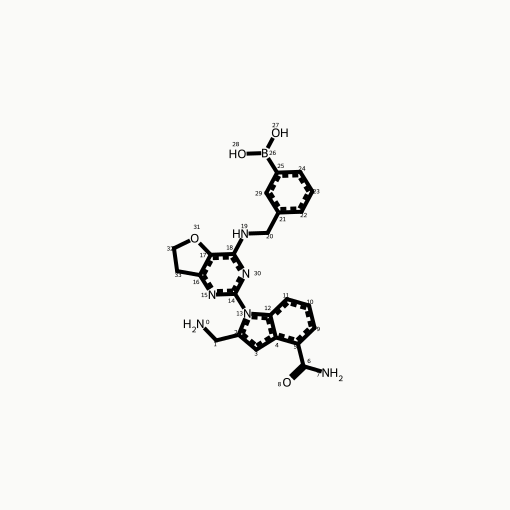 NCc1cc2c(C(N)=O)cccc2n1-c1nc2c(c(NCc3cccc(B(O)O)c3)n1)OCC2